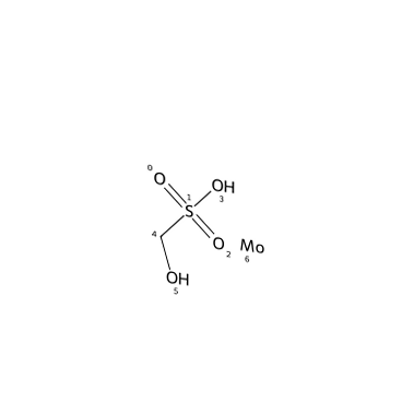 O=S(=O)(O)CO.[Mo]